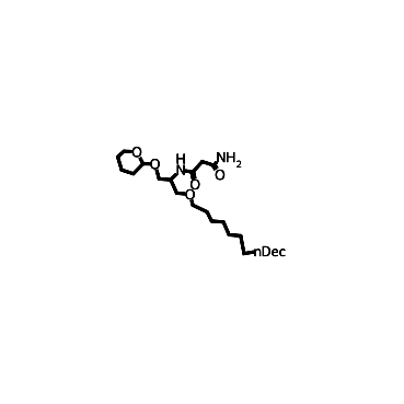 CCCCCCCCCCCCCCCCCOCC(COC1CCCCO1)NC(=O)CC(N)=O